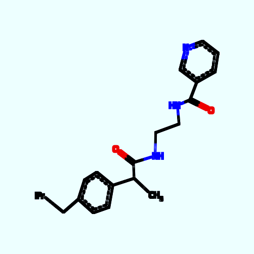 CC(C)Cc1ccc(C(C)C(=O)NCCNC(=O)c2cccnc2)cc1